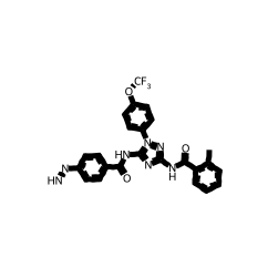 Cc1ccccc1C(=O)Nc1nc(NC(=O)c2ccc(N=N)cc2)n(-c2ccc(OC(F)(F)F)cc2)n1